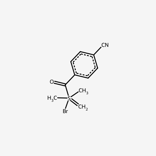 C=S(C)(C)(Br)C(=O)c1ccc(C#N)cc1